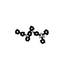 c1ccc(-c2ccc(-n3c4ccccc4c4cc5c(cc43)c3ccccc3n5-c3ccc(-c4nc(-c5ccccc5)nc(-c5ccccc5)n4)cc3)cc2)cc1